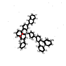 c1ccc(-c2ccc(-c3ccc(N(c4ccc5sc6ccccc6c5c4)c4cc(-c5ccc6ccccc6c5)ccc4-c4ccccc4)cc3)cc2-c2ccccc2)cc1